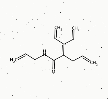 C=CCNC(=O)C(CC=C)=C(C=C)C=C